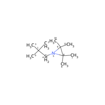 CC(C)(C)[SiH2]N1C(C)(C)C1(C)C